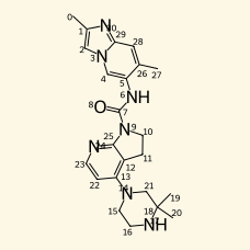 Cc1cn2cc(NC(=O)N3CCc4c(N5CCNC(C)(C)C5)ccnc43)c(C)cc2n1